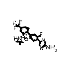 CC(C)(C)N[S+]([O-])c1cc(C(F)(F)F)ccc1-c1ccc(-c2cnc(N)cn2)c(F)c1